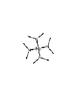 C[N](C)[Nb]([N](C)C)([N](C)C)[N](C)C